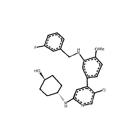 COc1ccc(-c2cc(N[C@H]3CC[C@H](O)CC3)ncc2Cl)cc1NCc1cccc(F)c1